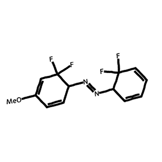 COC1=CC(F)(F)C(N=NC2C=CC=CC2(F)F)C=C1